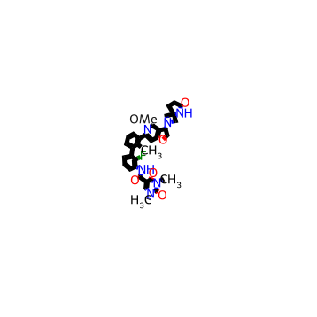 COc1nc(-c2cccc(-c3cccc(NC(=O)c4cn(C)c(=O)n(C)c4=O)c3F)c2C)cc2c1C(N1CC3(CCC(=O)N3)C1)CO2